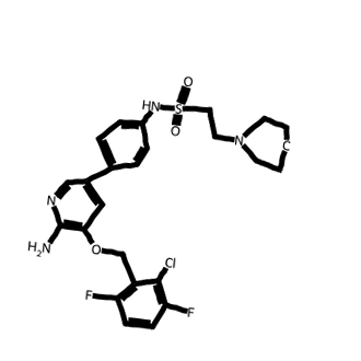 Nc1ncc(-c2ccc(NS(=O)(=O)CCN3CCCCC3)cc2)cc1OCc1c(F)ccc(F)c1Cl